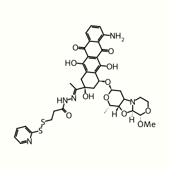 CO[C@H]1OCCN2C3C[C@H](O[C@H]4C[C@](O)(/C(C)=N/NC(=O)CCSSc5ccccn5)Cc5c(O)c6c(c(O)c54)C(=O)c4c(N)cccc4C6=O)O[C@@H](C)[C@H]3O[C@H]12